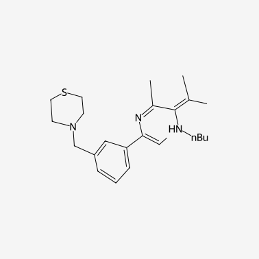 C/C=C(\N=C(\C)C(NCCCC)=C(C)C)c1cccc(CN2CCSCC2)c1